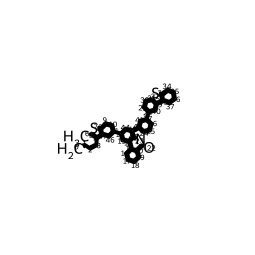 C=C/C=C\c1c(C)sc2ccc(-c3cc4c5ccccc5c(=O)n5c6ccc(-c7ccc8sc9ccccc9c8c7)cc6c(c3)c45)cc12